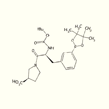 CC(C)(C)OC(=O)N[C@@H](Cc1cccc(B2OC(C)(C)C(C)(C)O2)c1)C(=O)N1CC[C@@H](C(=O)O)C1